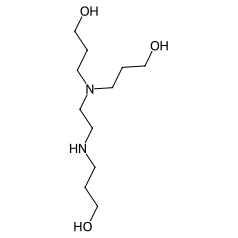 OCCCNCCN(CCCO)CCCO